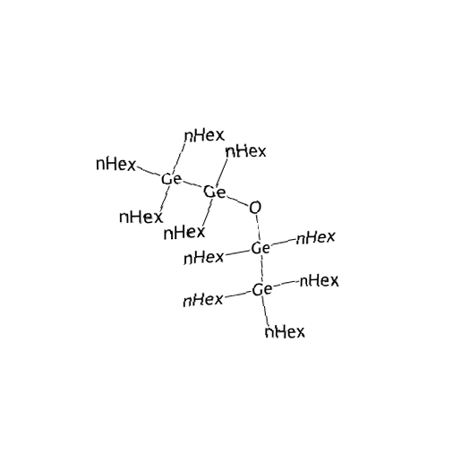 CCCCC[CH2][Ge]([CH2]CCCCC)([CH2]CCCCC)[Ge]([CH2]CCCCC)([CH2]CCCCC)[O][Ge]([CH2]CCCCC)([CH2]CCCCC)[Ge]([CH2]CCCCC)([CH2]CCCCC)[CH2]CCCCC